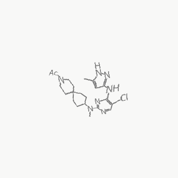 CC(=O)N1CCC2(CCC(N(C)c3ncc(Cl)c(Nc4cc(C)[nH]n4)n3)CC2)CC1